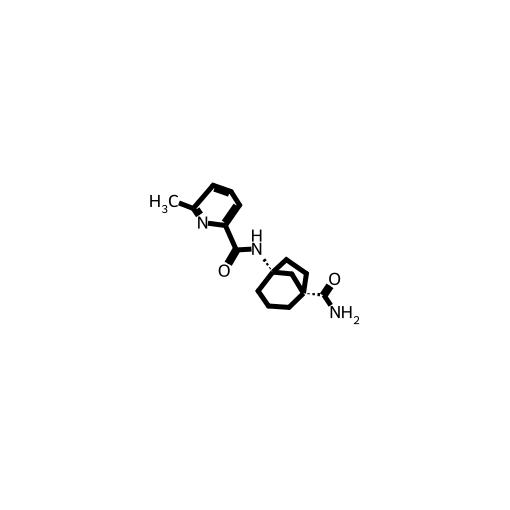 Cc1cccc(C(=O)N[C@]23CCC[C@](C(N)=O)(CC2)C3)n1